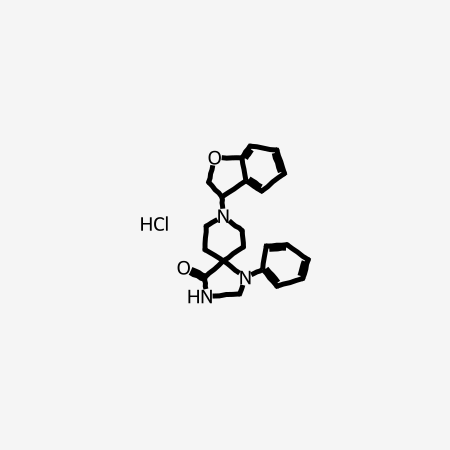 Cl.O=C1NCN(c2ccccc2)C12CCN(C1COc3ccccc31)CC2